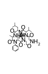 CC(C)CC(NC(=O)C(NC(=O)CN)C(C)C)C(=O)NC(C)C(=O)N(c1ccccc1)C(C)C(=O)NC[C]=O